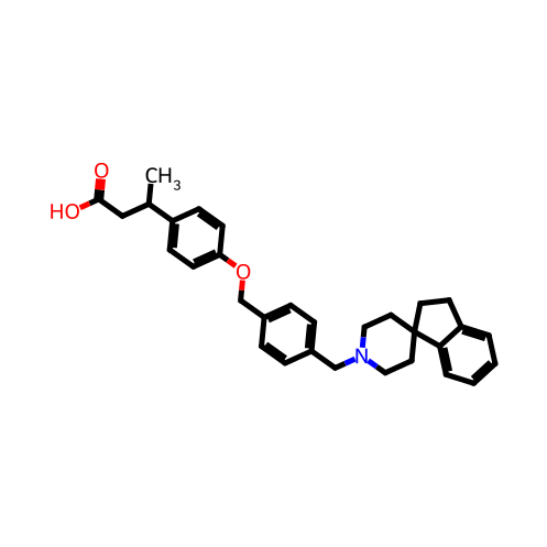 CC(CC(=O)O)c1ccc(OCc2ccc(CN3CCC4(CCc5ccccc54)CC3)cc2)cc1